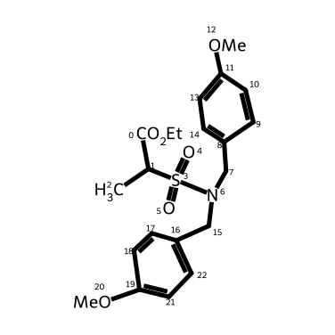 CCOC(=O)C(C)S(=O)(=O)N(Cc1ccc(OC)cc1)Cc1ccc(OC)cc1